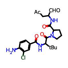 CC(=O)CC(C=O)NC(=O)C1CCCN1C(=O)C(NC(=O)c1ccc(N)c(Cl)c1)C(C)(C)C